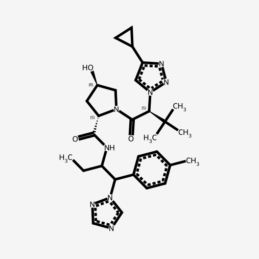 CCC(NC(=O)[C@@H]1C[C@@H](O)CN1C(=O)[C@@H](n1cc(C2CC2)nn1)C(C)(C)C)C(c1ccc(C)cc1)n1cncn1